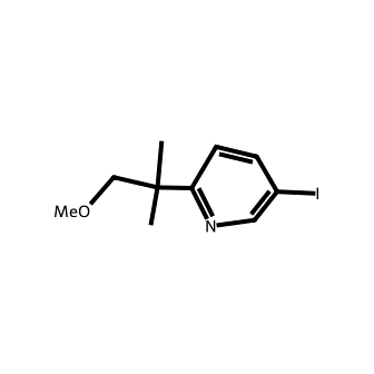 COCC(C)(C)c1ccc(I)cn1